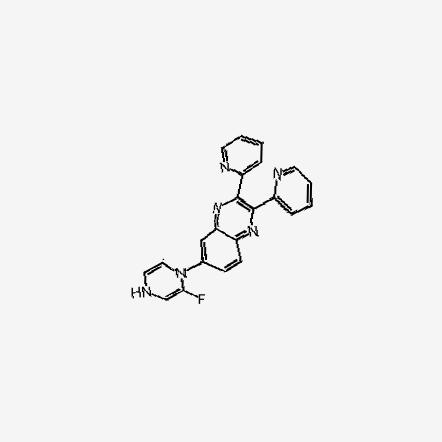 FC1=CNC=[C]N1c1ccc2nc(-c3ccccn3)c(-c3ccccn3)nc2c1